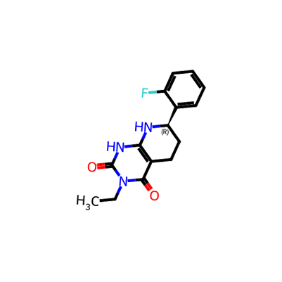 CCn1c(=O)[nH]c2c(c1=O)CC[C@H](c1ccccc1F)N2